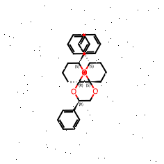 c1ccc([C@@H]2CCC[C@@]3(O2)O[C@H](c2ccccc2)CO[C@]32CCC[C@@H](c3ccccc3)O2)cc1